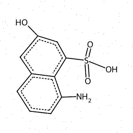 Nc1cccc2cc(O)cc(S(=O)(=O)O)c12